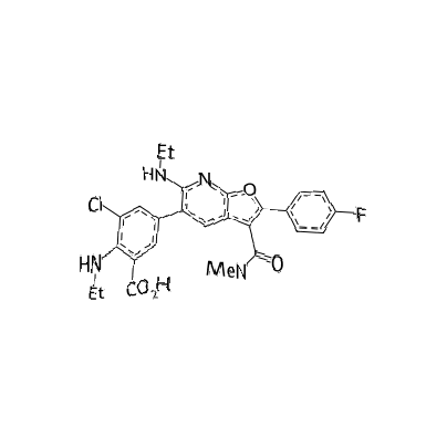 CCNc1nc2oc(-c3ccc(F)cc3)c(C(=O)NC)c2cc1-c1cc(Cl)c(NCC)c(C(=O)O)c1